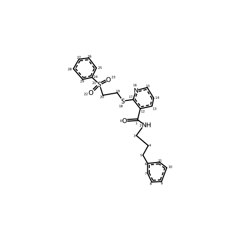 O=C(NCCCc1ccccc1)c1cccnc1SCCS(=O)(=O)c1ccccc1